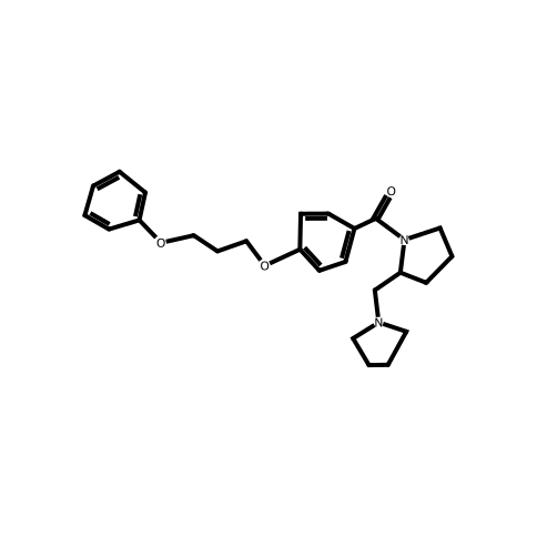 O=C(c1ccc(OCCCOc2ccccc2)cc1)N1CCCC1CN1CCCC1